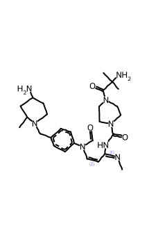 C/N=C(\C=C/N(C=O)c1ccc(CN2CCC(N)CC2C)cc1)NC(=O)N1CCN(C(=O)C(C)(C)N)CC1